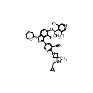 C[C@@H](Oc1ccc2c(c(-c3cnc(N4CC(C)(NCC5CC5)C4)c(C#N)c3)nn2C2CCCCO2)c1F)c1c(Cl)cncc1Cl